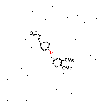 COc1ccc(COc2ccc(C=CC(=O)O)cc2)cc1OC